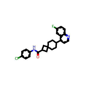 O=C(Nc1ccc(Cl)cc1)C1CC2(CCC(c3ccnc4ccc(F)cc34)CC2)C1